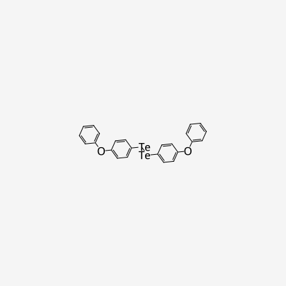 c1ccc(Oc2ccc([Te][Te]c3ccc(Oc4ccccc4)cc3)cc2)cc1